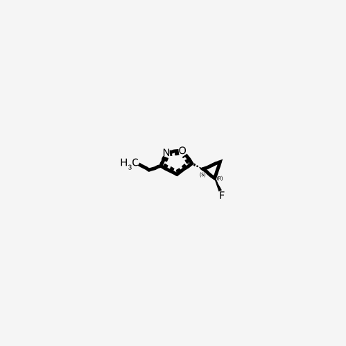 CCc1cc([C@@H]2C[C@H]2F)on1